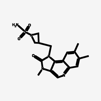 Cc1cc2ncc3c(c2cc1C)n(CC1CN(S(N)(=O)=O)C1)c(=O)n3C